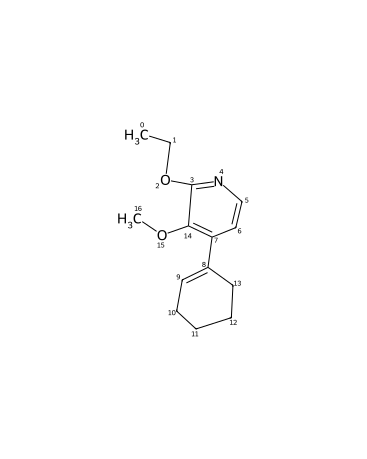 CCOc1nccc(C2=CCCCC2)c1OC